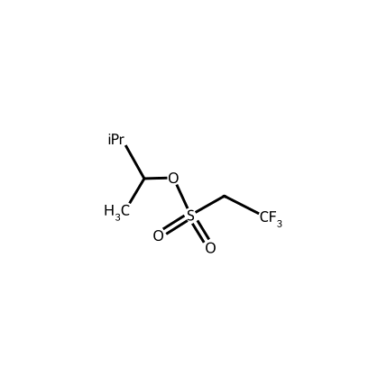 CC(C)C(C)OS(=O)(=O)CC(F)(F)F